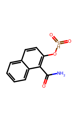 NC(=O)c1c(O[SH](=O)=O)ccc2ccccc12